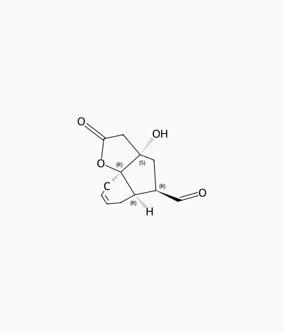 O=C[C@@H]1C[C@]2(O)CC(=O)O[C@@]23CC=CC[C@H]13